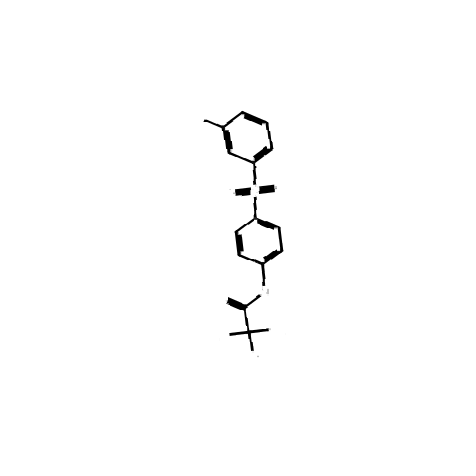 CC(O)(C(=O)Nc1ccc(S(=O)(=O)c2cccc(O)c2)cc1)C(F)(F)F